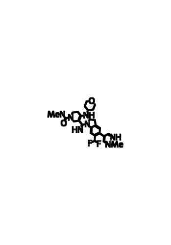 CN/C=C(\C=N)c1cc2c(cc1C(F)F)N(C(=N)C1=C(NC3CCOCC3)CCN(C(=O)NC)C1)CC2